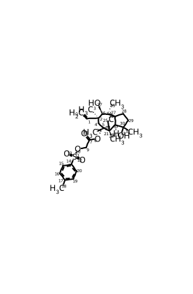 C=C[C@]1(C)C[C@@H](OC(=O)COS(=O)(=O)c2ccc(C)cc2)[C@]2(C)[C@H](C)CC[C@]3(CCC(C)(O)[C@H]32)[C@@H](C)[C@@H]1O